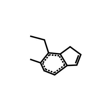 CCc1c(C)ccc2c1CC=C2